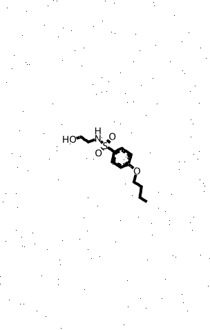 CCCCOc1ccc(S(=O)(=O)NCCO)cc1